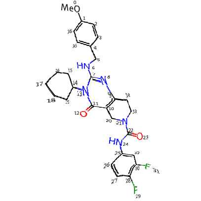 COc1ccc(CNc2nc3c(c(=O)n2C2CCCCC2)CN(C(=O)Nc2ccc(F)c(F)c2)CC3)cc1